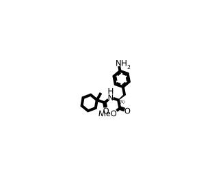 COC(=O)[C@H](Cc1ccc(N)cc1)NC(=O)C1(C)CCCCC1